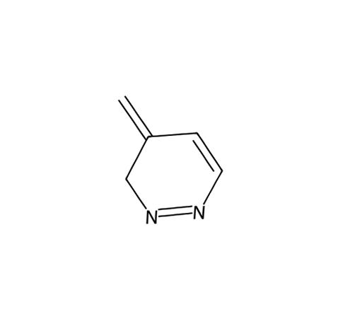 C=C1C=CN=NC1